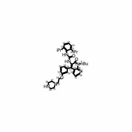 CCCCn1c(=O)c(NC(=O)Nc2c(C(C)C)cccc2C(C)C)c(-c2cccc(OCCN3CCNCC3)c2)c2cccnc21